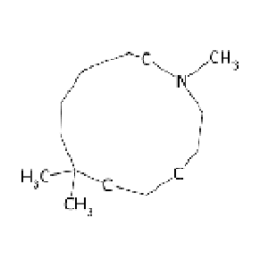 CN1CCCCCC(C)(C)CCCCC1